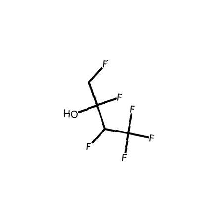 OC(F)(CF)C(F)C(F)(F)F